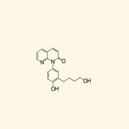 O=c1ccc2cccnc2n1-c1ccc(O)c(CCCCO)c1